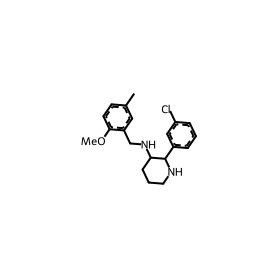 COc1ccc(C)cc1CNC1CCCNC1c1cccc(Cl)c1